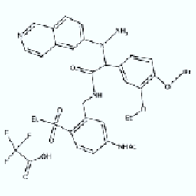 CCOc1cc(C(C(=O)NCc2cc(NC(C)=O)ccc2S(=O)(=O)CC)N(N)c2ccc3cnccc3c2)ccc1OC(C)C.O=C(O)C(F)(F)F